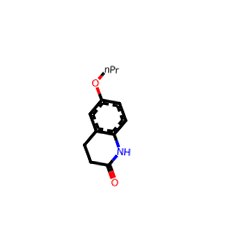 CCCOc1ccc2c(c1)CCC(=O)N2